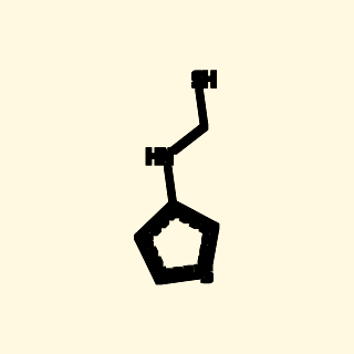 SCNc1ccsc1